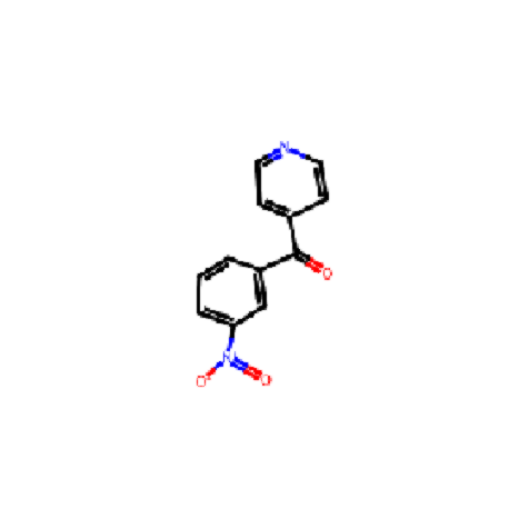 O=C(c1ccncc1)c1cccc([N+](=O)[O-])c1